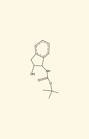 CC(C)(C)OC(=O)NC1c2ccccc2CC1O